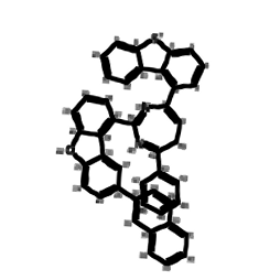 C1=C(c2cccc3sc4ccccc4c23)N=C(c2cccc3oc4ccc(-c5ccc6ccccc6c5)cc4c23)N=C(c2ccccc2)C1